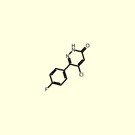 O=c1cc(Cl)c(-c2ccc(F)cc2)n[nH]1